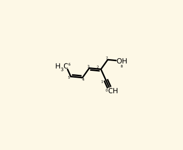 C#C/C(=C\C=C/C)CO